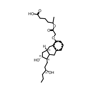 CCC[C@H](O)CC[C@@H]1C2Cc3cccc(OCC(=O)OC(C)CCCC(=O)O)c3C[C@H]2C[C@H]1O